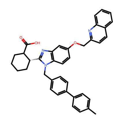 Cc1ccc(-c2ccc(Cn3c([C@@H]4CCCCC4C(=O)O)nc4cc(OCc5ccc6ccccc6n5)ccc43)cc2)cc1